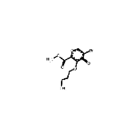 CCCCOc1c(C(=O)OC)occ(Br)c1=O